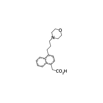 O=C(O)Cc1ccc(CCCN2CCOCC2)c2ccccc12